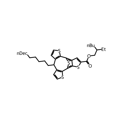 CCCCCCCCCCCCCCCC1c2ccsc2-c2sc(c3sc(C(=O)OCC(CC)CCCC)cc23)-c2sccc21